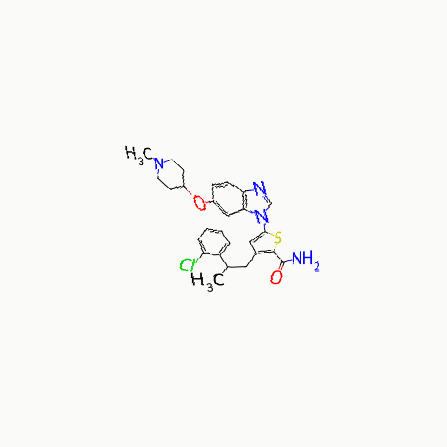 CC(Cc1cc(-n2cnc3ccc(OC4CCN(C)CC4)cc32)sc1C(N)=O)c1ccccc1Cl